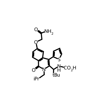 CC(C)Cn1c(C(NC(=O)O)C(C)(C)C)c(-c2cccs2)c2cc(OCC(N)=O)ccc2c1=O